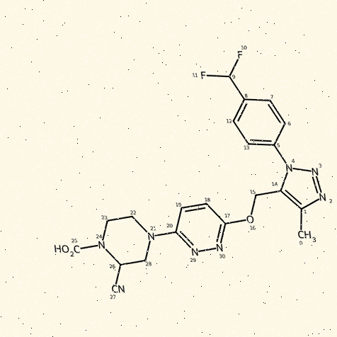 Cc1nnn(-c2ccc(C(F)F)cc2)c1COc1ccc(N2CCN(C(=O)O)C(C#N)C2)nn1